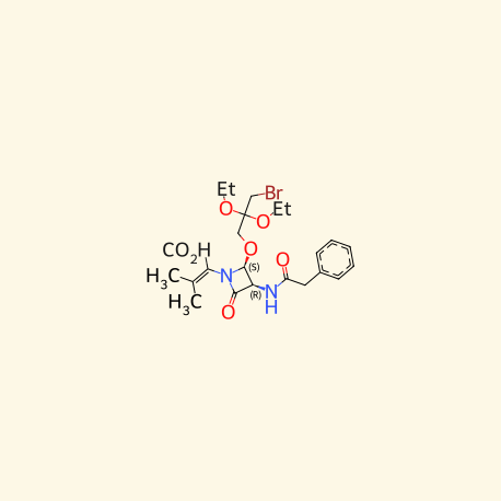 CCOC(CBr)(CO[C@H]1[C@@H](NC(=O)Cc2ccccc2)C(=O)N1C(C(=O)O)=C(C)C)OCC